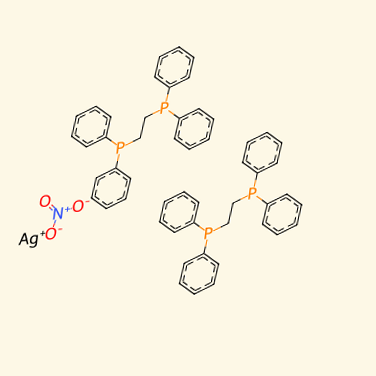 O=[N+]([O-])[O-].[Ag+].c1ccc(P(CCP(c2ccccc2)c2ccccc2)c2ccccc2)cc1.c1ccc(P(CCP(c2ccccc2)c2ccccc2)c2ccccc2)cc1